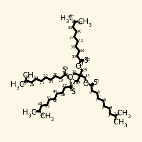 CC(C)CCCCCCCC(=S)OCC(COC(=S)CCCCCCCC(C)C)(COC(=S)CCCCCCCC(C)C)COC(=S)CCCCCCCC(C)C